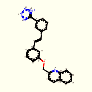 C(=Cc1cccc(-c2nnn[nH]2)c1)c1cccc(OCc2ccc3ccccc3n2)c1